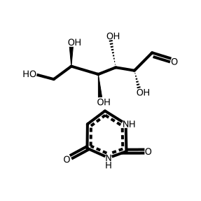 O=C[C@H](O)[C@@H](O)[C@@H](O)[C@H](O)CO.O=c1cc[nH]c(=O)[nH]1